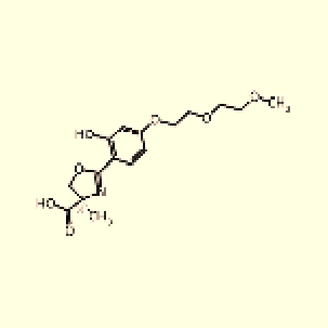 COCCOCCOc1ccc(C2=N[C@@](C)(C(=O)O)CO2)c(O)c1